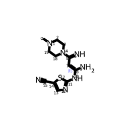 CN1CCN(C(=N)/C=C(\N)Nc2ncc(C#N)s2)CC1